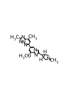 COc1cc(-c2cc(C)c3nc(C)nn3n2)cn2cc(C3[C@H]4CN(C)C[C@@H]34)nc12